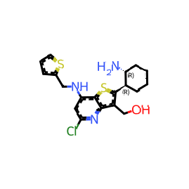 N[C@@H]1CCCC[C@H]1c1sc2c(NCc3cccs3)cc(Cl)nc2c1CO